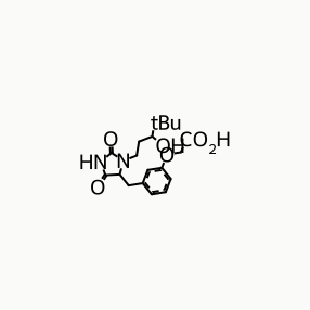 CC(C)(C)C(O)CCN1C(=O)NC(=O)C1Cc1cccc(OCC(=O)O)c1